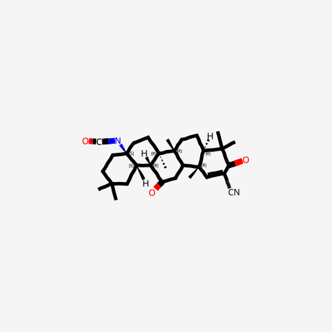 CC1(C)CC[C@]2(N=C=O)CC[C@]3(C)[C@H](C(=O)CC4[C@@]5(C)C=C(C#N)C(=O)C(C)(C)[C@@H]5CC[C@]43C)[C@@H]2C1